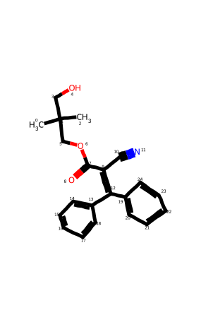 CC(C)(CO)COC(=O)C(C#N)=C(c1ccccc1)c1ccccc1